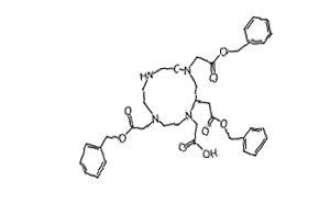 O=C(O)CN1CCN(CC(=O)OCc2ccccc2)CCNCCN(CC(=O)OCc2ccccc2)CC1CC(=O)OCc1ccccc1